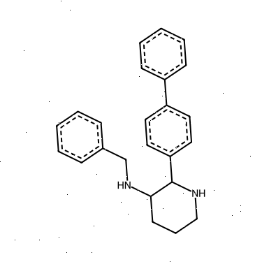 c1ccc(CNC2CCCNC2c2ccc(-c3ccccc3)cc2)cc1